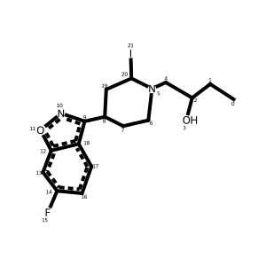 CCC(O)CN1CCC(c2noc3cc(F)ccc23)CC1I